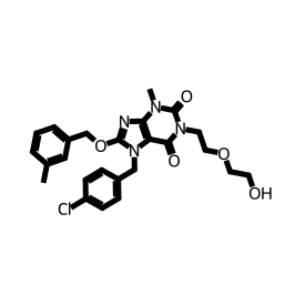 Cc1cccc(COc2nc3c(c(=O)n(CCOCCO)c(=O)n3C)n2Cc2ccc(Cl)cc2)c1